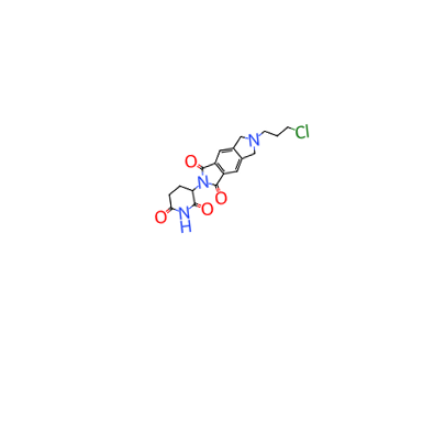 O=C1CCC(N2C(=O)c3cc4c(cc3C2=O)CN(CCCCl)C4)C(=O)N1